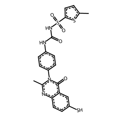 Cc1ccc(S(=O)(=O)NC(=O)Nc2ccc(-n3c(C)nc4ccc(S)cc4c3=O)cc2)s1